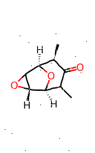 CC1C(=O)[C@H](C)[C@H]2O[C@@H]1[C@@H]1OC12